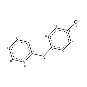 Oc1ccc(Cc2ccc[c]n2)cc1